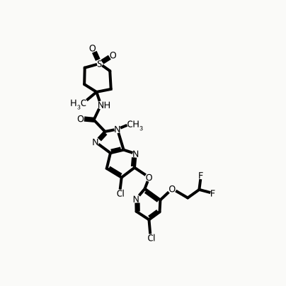 Cn1c(C(=O)NC2(C)CCS(=O)(=O)CC2)nc2cc(Cl)c(Oc3ncc(Cl)cc3OCC(F)F)nc21